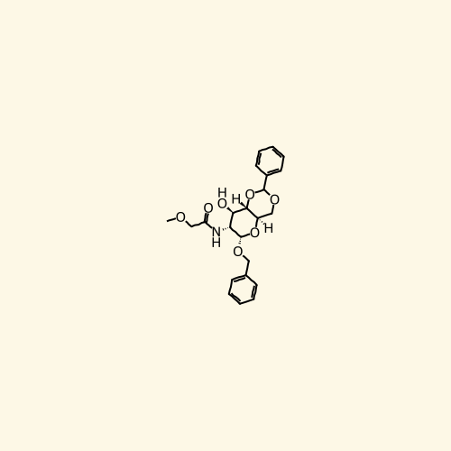 COCC(=O)N[C@H]1[C@@H](OCc2ccccc2)O[C@@H]2COC(c3ccccc3)O[C@H]2[C@@H]1O